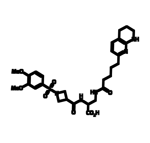 COc1ccc(S(=O)(=O)N2CC(C(=O)NC(CNC(=O)CCCCc3ccc4c(n3)NCCC4)C(=O)O)C2)cc1OC